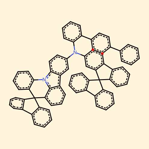 c1ccc(-c2ccc(-c3ccccc3N(c3ccc4c(c3)C3(c5ccccc5-c5ccccc53)c3ccccc3-4)c3ccc4c(c3)c3cccc5c3n4-c3ccccc3C53c4ccccc4-c4ccccc43)cc2)cc1